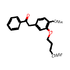 COCCCOc1cc(CC(=O)c2ccccc2)ccc1OC